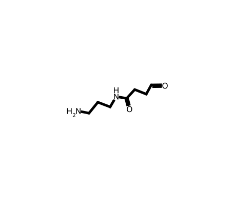 NCCCNC(=O)CCC=O